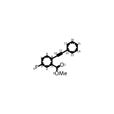 COC(=O)c1cc(F)ccc1C#Cc1ccccc1